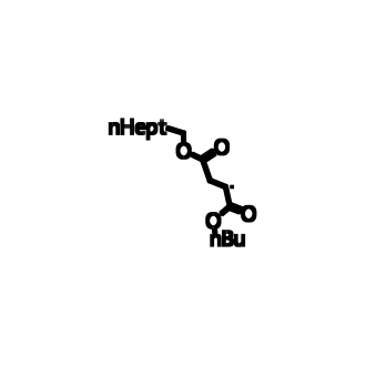 CCCCCCCCOC(=O)C[CH]C(=O)OCCCC